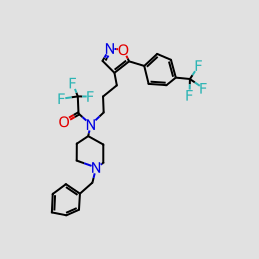 O=C(N(CCCc1cnoc1-c1ccc(C(F)(F)F)cc1)C1CCN(Cc2ccccc2)CC1)C(F)(F)F